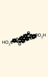 O=C(O)c1cccc(CN2C(=O)c3ccc4c5ccc6c7c(ccc(c8ccc(c3c48)C2=O)c75)C(=O)N(Cc2cccc(C(=O)O)c2)C6=O)c1